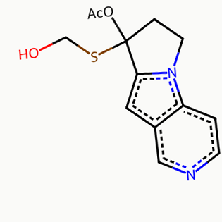 CC(=O)OC1(SCO)CCn2c1cc1cnccc12